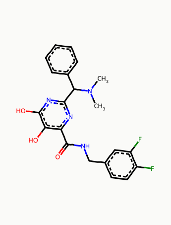 CN(C)C(c1ccccc1)c1nc(O)c(O)c(C(=O)NCc2ccc(F)c(F)c2)n1